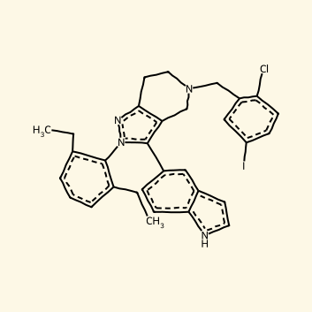 CCc1cccc(CC)c1-n1nc2c(c1-c1ccc3[nH]ccc3c1)CN(Cc1cc(I)ccc1Cl)CC2